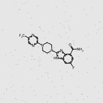 NC(=O)c1cc(F)cc2[nH]c(N3CCN(c4cnc(C(F)(F)F)cn4)CC3)nc12